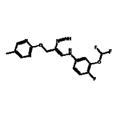 Cc1cnc(OC/C(=C/Nc2ccc(F)c(OC(F)F)c2)N=N)nc1